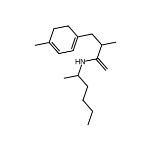 C=C(NC(C)CCCC)C(C)CC1=CC=C(C)CC1